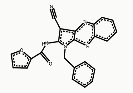 N#Cc1c(NC(=O)c2ccco2)n(Cc2ccccc2)c2nc3ccccc3nc12